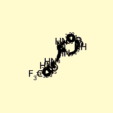 O=C(NCC#Cc1cnc2nc1NCCCNS(=O)(=O)c1cccc(c1)N2)Nc1cc(C(F)(F)F)ccc1F